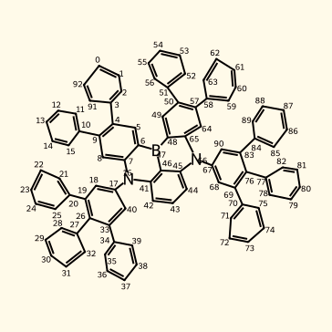 c1ccc(-c2cc3c(cc2-c2ccccc2)N(c2cc(-c4ccccc4)c(-c4ccccc4)c(-c4ccccc4)c2)c2cccc4c2B3c2cc(-c3ccccc3)c(-c3ccccc3)cc2N4c2cc(-c3ccccc3)c(-c3ccccc3)c(-c3ccccc3)c2)cc1